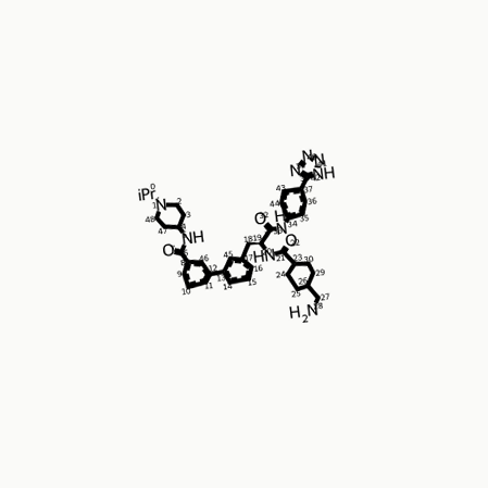 CC(C)N1CCC(NC(=O)c2cccc(-c3cccc(C[C@H](NC(=O)C4CCC(CN)CC4)C(=O)Nc4ccc(-c5nnn[nH]5)cc4)c3)c2)CC1